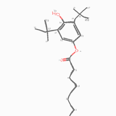 CCCCCCC(=O)Oc1cc(C(C)(C)C)c(O)c(C(C)(C)C)c1